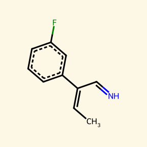 C/C=C(\C=N)c1cccc(F)c1